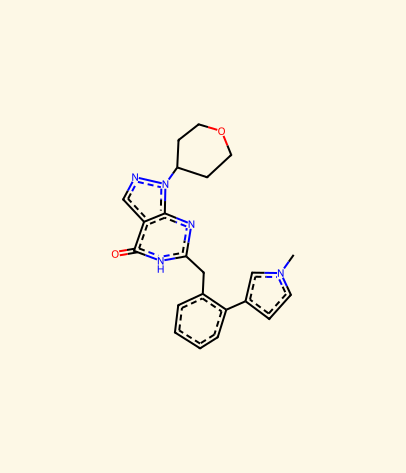 Cn1ccc(-c2ccccc2Cc2nc3c(cnn3C3CCOCC3)c(=O)[nH]2)c1